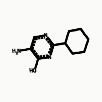 Nc1cnc(C2CCCCC2)nc1O